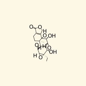 CC[C@]12O[C@H]1[C@@H]1O[C@]13[C@]1(O[C@H]1[C@H](O)[C@@]1(O)C4=C(CC[C@]31C)C(=O)OC4)[C@H]2O